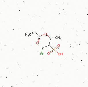 C=CC(=O)OC(C)C(CBr)S(=O)(=O)O